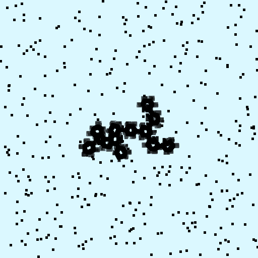 c1ccc(-c2nc3c(-c4ccc(-c5cc(-c6cccc(-c7ccccn7)n6)cc(-c6cccc(-c7ccccn7)n6)c5)cc4)cccc3c3c2ccc2c3c3ccccc3n2-c2ccccc2)cc1